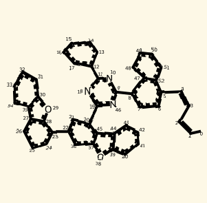 C/C=C\C=C/c1ccc(-c2nc(-c3ccccc3)nc(-c3cc(-c4cccc5c4oc4ccccc45)cc4oc5ccccc5c34)n2)c2ccccc12